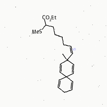 CCOC(=O)C(CCCC/C=C\C1(C)C=CC2(C=CCC=C2)C=C1)SC